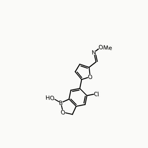 CO/N=C/c1ccc(-c2cc3c(cc2Cl)COB3O)o1